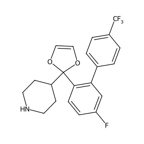 Fc1ccc(C2(C3CCNCC3)OC=CO2)c(-c2ccc(C(F)(F)F)cc2)c1